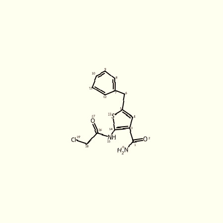 NC(=O)c1cc(Cc2ccccc2)sc1NC(=O)CCl